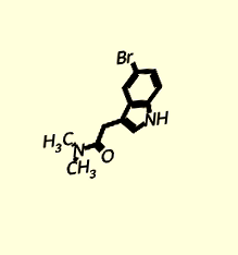 CN(C)C(=O)Cc1c[nH]c2ccc(Br)cc12